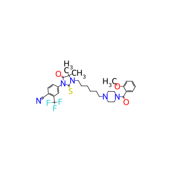 COc1ccccc1C(=O)N1CCN(CCCCCCN2C(=S)N(c3ccc(C#N)c(C(F)(F)F)c3)C(=O)C2(C)C)CC1